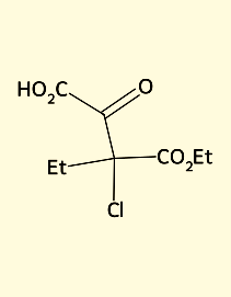 CCOC(=O)C(Cl)(CC)C(=O)C(=O)O